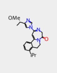 CO[C@@H](C)c1cn(C2=NCC(=O)N3CCc4c(cccc4C(C)C)C3=C2)cn1